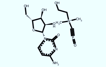 C[N+](C)(C#P=O)CCO.Nc1ccn([C@@H]2O[C@H](CO)[C@@H](O)[C@H]2O)c(=O)n1